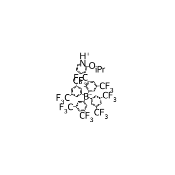 CC(C)Oc1cccc[nH+]1.FC(F)(F)c1cc([B-](c2cc(C(F)(F)F)cc(C(F)(F)F)c2)(c2cc(C(F)(F)F)cc(C(F)(F)F)c2)c2cc(C(F)(F)F)cc(C(F)(F)F)c2)cc(C(F)(F)F)c1